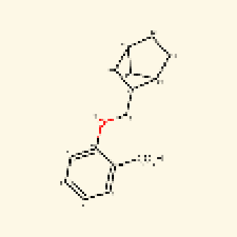 O=C(O)c1ccccc1OCC1CC2CCC1C2